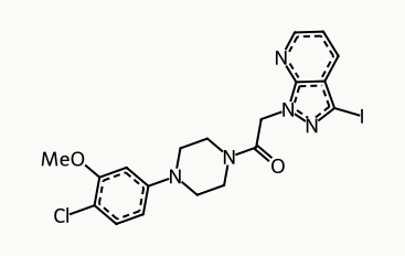 COc1cc(N2CCN(C(=O)Cn3nc(I)c4cccnc43)CC2)ccc1Cl